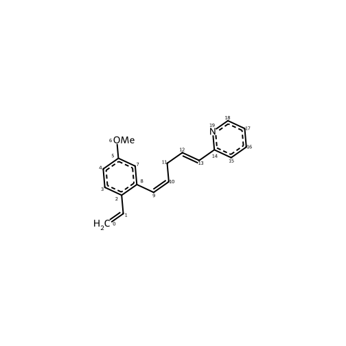 C=Cc1ccc(OC)cc1/C=C\C/C=C/c1ccccn1